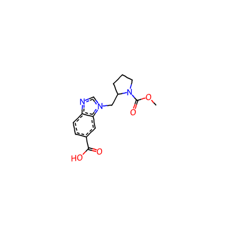 COC(=O)N1CCCC1Cn1cnc2ccc(C(=O)O)cc21